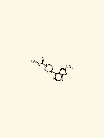 CC(C)(C)OC(=O)N1CCN(c2ncnc3sc([N+](=O)[O-])cc23)CC1